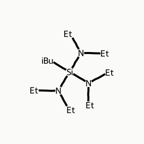 CCC(C)[Si](N(CC)CC)(N(CC)CC)N(CC)CC